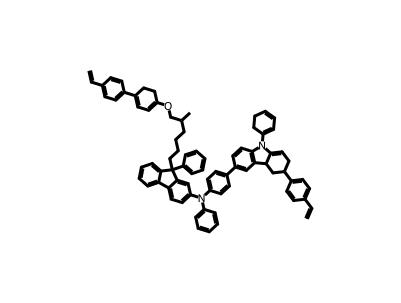 C=Cc1ccc(C2=CC=C(OCC(C)CCCCC3(c4ccccc4)c4ccccc4-c4ccc(N(c5ccccc5)c5ccc(-c6ccc7c(c6)C6CC(c8ccc(C=C)cc8)CC=C6N7C6=CC=CCC6)cc5)cc43)CC2)cc1